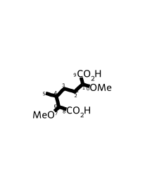 COC([CH]CC(C)C(OC)C(=O)O)C(=O)O